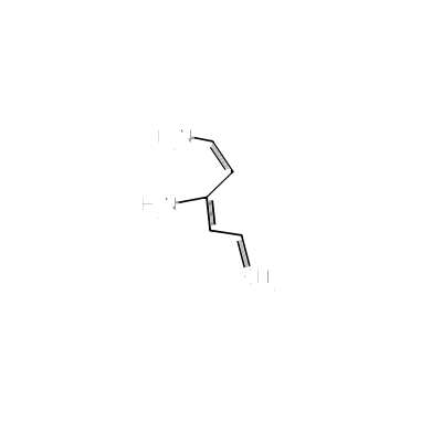 C=C/C=C(N)\C=C/N